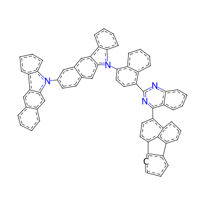 c1ccc2c(c1)-c1cccc3c(-c4nc(-c5ccc(-n6c7ccccc7c7cc8cc(-n9c%10ccccc%10c%10cc%11ccccc%11cc%109)ccc8cc76)c6ccccc56)nc5ccccc45)ccc-2c13